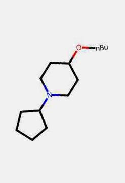 CCCCOC1CCN(C2CCCC2)CC1